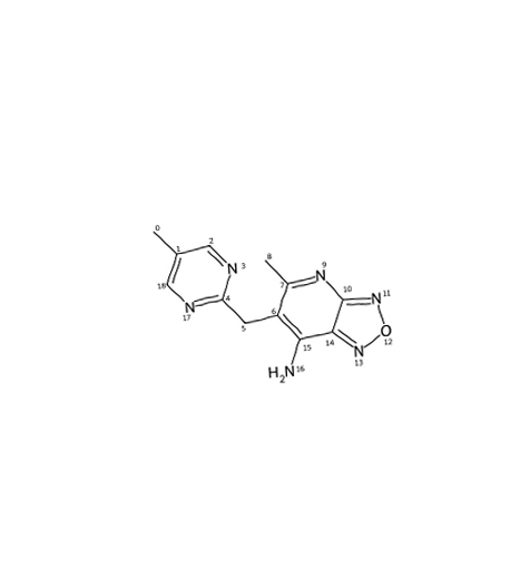 Cc1cnc(Cc2c(C)nc3nonc3c2N)nc1